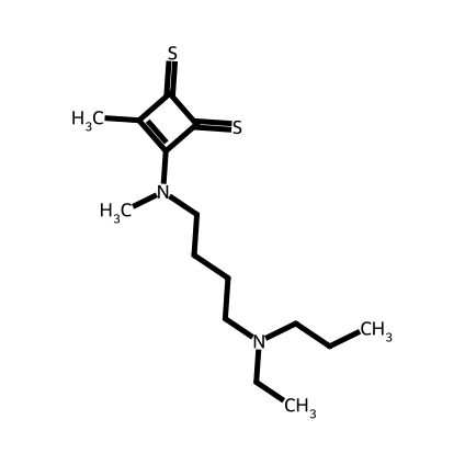 CCCN(CC)CCCCN(C)c1c(C)c(=S)c1=S